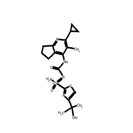 Cc1c(C2CC2)nc2c(c1NC(=O)N=[S@@](N)(=O)c1nc(C(C)(C)O)cs1)CCC2